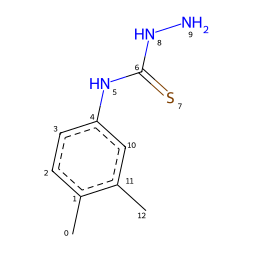 Cc1ccc(NC(=S)NN)cc1C